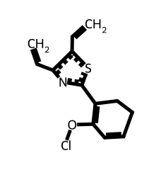 C=Cc1nc(C2=C(OCl)C=CCC2)sc1C=C